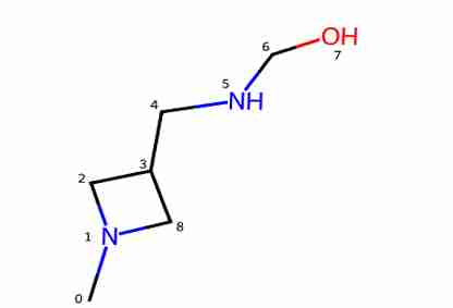 CN1CC(CNCO)C1